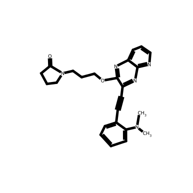 CN(C)c1ccccc1C#Cc1nc2ncccc2nc1OCCCN1CCCC1=O